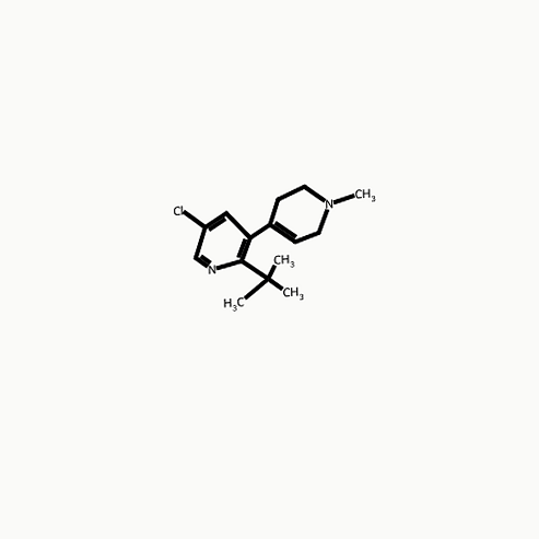 CN1CC=C(c2cc(Cl)cnc2C(C)(C)C)CC1